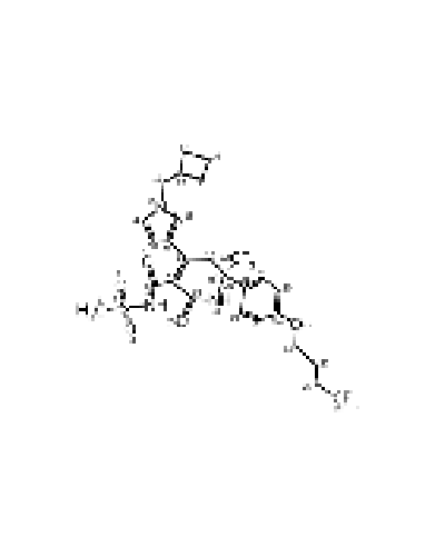 CS(=O)(=O)NC(=O)C1=C(c2ccn(CC3CCC3)n2)C[C@](c2ccc(OCCCC(F)(F)F)cc2)(C(F)(F)F)NC1=O